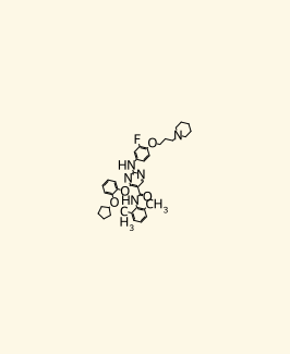 Cc1cccc(C)c1NC(=O)c1cnc(Nc2ccc(OCCCN3CCCCC3)c(F)c2)nc1Oc1ccccc1OC1CCCC1